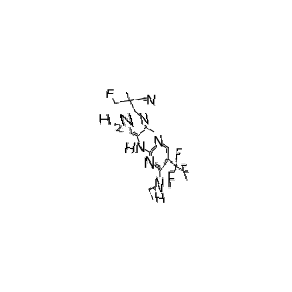 CCNc1nc(NC(=C/N)/C(C)=N\CC(C)(C#N)CF)ncc1C(F)(F)F